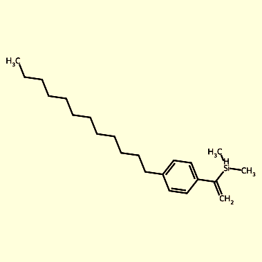 C=C(c1ccc(CCCCCCCCCCCC)cc1)[SiH](C)C